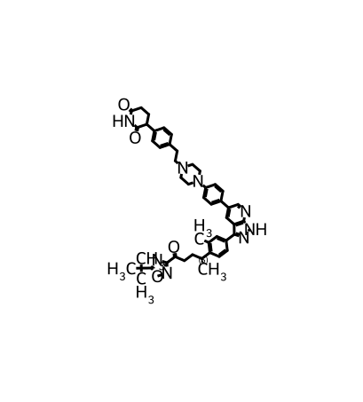 Cc1cc(-c2n[nH]c3ncc(-c4ccc(N5CCN(CCc6ccc(C7CCC(=O)NC7=O)cc6)CC5)cc4)cc23)ccc1[C@@H](C)CCC(=O)c1noc(C(C)(C)C)n1